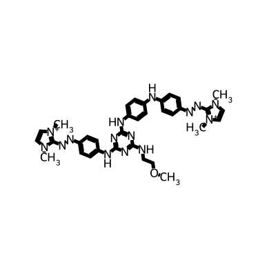 COCCNc1nc(Nc2ccc(/N=N/c3n(C)cc[n+]3C)cc2)nc(Nc2ccc(Nc3ccc(/N=N/c4n(C)cc[n+]4C)cc3)cc2)n1